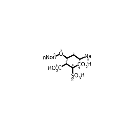 CCCCCCCCCOCC[CH2][Na].O=C(O)CC(C(=O)O)S(=O)(=O)O